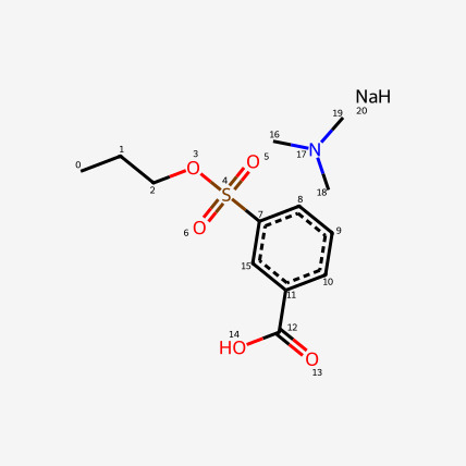 CCCOS(=O)(=O)c1cccc(C(=O)O)c1.CN(C)C.[NaH]